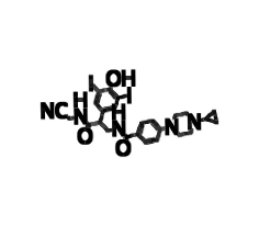 N#CCNC(=O)C(CNC(=O)c1ccc(N2CCN(C3CC3)CC2)cc1)c1cc(I)c(O)c(I)c1